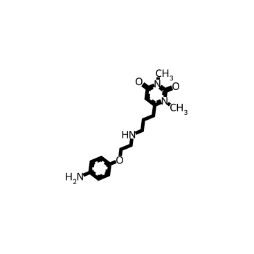 Cn1c(CCCNCCOc2ccc(N)cc2)cc(=O)n(C)c1=O